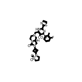 Cc1c(F)cccc1[C@@H]1N=C(c2nccs2)NC(CN2CCN3C(=O)N(C45CC(N6CCCS6(=O)=O)(C4)C5)C[C@@H]3C2)=C1C(=O)O